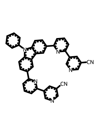 N#Cc1cncc(-c2cccc(-c3ccc4c(c3)c3cc(-c5cccc(-c6cncc(C#N)c6)n5)ccc3n4-c3ccccc3)n2)c1